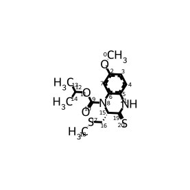 COc1ccc2c(c1)N(C(=O)OC(C)C)[C@@H](CSC)C(=S)N2